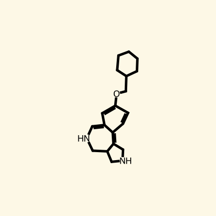 C1=c2cc(OCC3CCCCC3)ccc2=C2CNCC2CN1